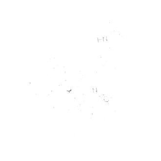 CC(=O)NC=CC(=S)CC1CC(=O)N1C(C(=O)OC1OC(=O)c2ccccc21)=P(c1ccccc1)(c1ccccc1)c1ccccc1